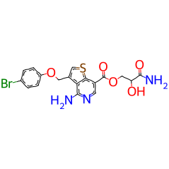 NC(=O)C(O)COC(=O)c1cnc(N)c2c(COc3ccc(Br)cc3)csc12